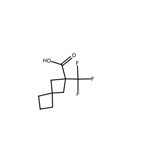 O=C(O)C1(C(F)(F)F)CC2(CCC2)C1